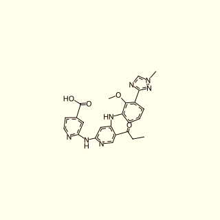 CCC(=O)c1cnc(Nc2cc(C(=O)O)ccn2)cc1Nc1cccc(-c2ncn(C)n2)c1OC